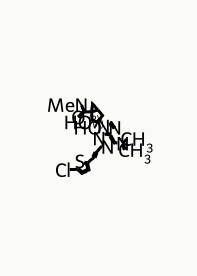 CNC(=O)C12CC1C[C@](O)(n1cnc3c(N(C)C)nc(C#Cc4ccc(Cl)s4)nc31)[C@@H]2O